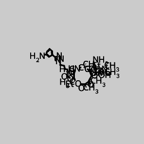 CCC(C(O)[C@@H](OCCN)O[C@@H]1[C@@H](C)C(=O)[C@@H](C)C(=O)O[C@H](CC)[C@@]2(C)OC(=O)N(CCCCn3cc(-c4cccc(N)c4)nn3)[C@@H]2[C@@H](C)NC[C@H](C)C[C@@]1(C)OC)N(C)C